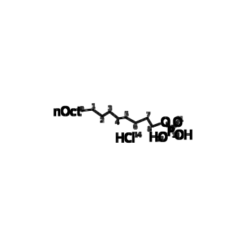 CCCCCCCCCCCCCCCCOP(=O)(O)O.Cl